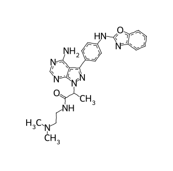 CC(C(=O)NCCN(C)C)n1nc(-c2ccc(Nc3nc4ccccc4o3)cc2)c2c(N)ncnc21